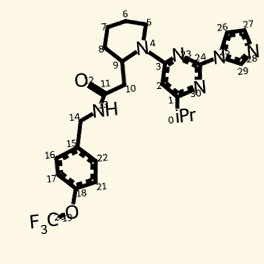 CC(C)c1cc(N2CCCCC2CC(=O)NCc2ccc(OC(F)(F)F)cc2)nc(-n2ccnc2)n1